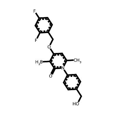 Bc1c(OCc2ccc(F)cc2F)cc(C)n(-c2ccc(CO)cc2)c1=O